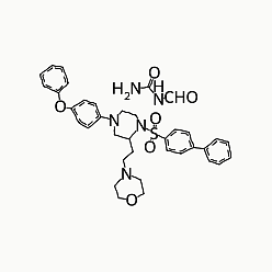 NC(=O)NC=O.O=S(=O)(c1ccc(-c2ccccc2)cc1)N1CCN(c2ccc(Oc3ccccc3)cc2)CC1CCN1CCOCC1